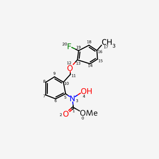 COC(=O)N(O)c1ccccc1COc1ccc(C)cc1F